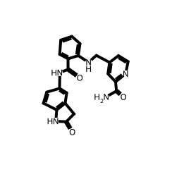 NC(=O)c1cc(CNc2ccccc2C(=O)Nc2ccc3c(c2)CC(=O)N3)ccn1